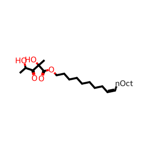 CCCCCCCC/C=C\CCCCCCCCOC(=O)C(C)(O)C(=O)C(C)O